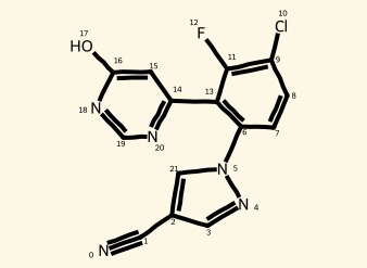 N#Cc1cnn(-c2ccc(Cl)c(F)c2-c2cc(O)ncn2)c1